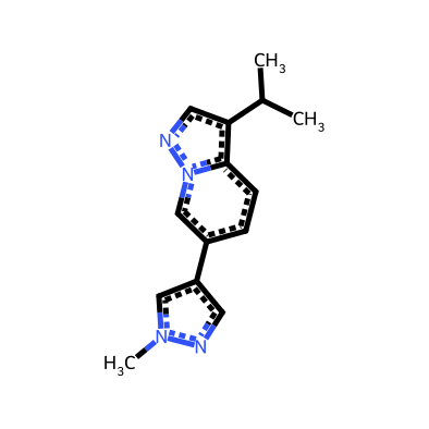 CC(C)c1cnn2cc(-c3cnn(C)c3)ccc12